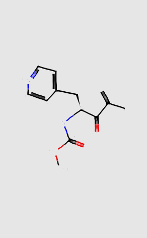 C=C(C)C(=O)[C@H](Cc1ccncc1)NC(=O)OC(C)(C)C